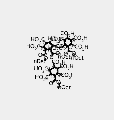 CCCCCCCCCCOC(=O)c1c(C(=O)O)c(C(=O)O)c(C(=O)O)c(C(=O)O)c1C(=O)OCCCCCCCC.CCCCCCCCOC(=O)c1c(C(=O)O)c(C(=O)O)c(C(=O)O)c(C(=O)O)c1C(=O)O.CCCCCCCCOC(=O)c1c(C(=O)O)c(C(=O)O)c(C(=O)O)c(C(=O)O)c1C(=O)O